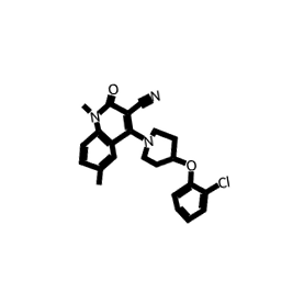 Cc1ccc2c(c1)c(N1CCC(Oc3ccccc3Cl)CC1)c(C#N)c(=O)n2C